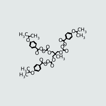 CC(C)Oc1ccc(C(=O)OOC(=O)OCC(C)(COC(=O)OOC(=O)c2ccc(OC(C)C)cc2)COC(=O)OOC(=O)c2ccc(OC(C)C)cc2)cc1